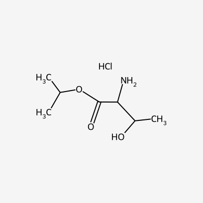 CC(C)OC(=O)C(N)C(C)O.Cl